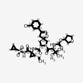 C=C[C@@H]1C[C@]1(NC(=O)[C@@H]1C[C@]2(CC(c3cccc(Cl)c3)=NO2)CN1C(=O)[C@@H](NC(=O)OC1CCOC1)C(C)(C)C)C(=O)NS(=O)(=O)C1CC1